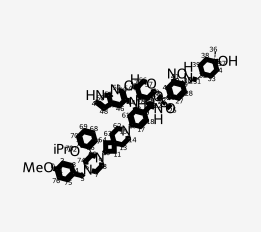 COc1ccc(CN2CCN(C3CC4(CCN(c5ccc(C(=O)NS(=O)(=O)c6ccc(NC[C@H]7CC[C@](C)(O)CC7)c([N+](=O)[O-])c6)c(N6c7cc8cc[nH]c8nc7O[C@H]7COCC[C@@H]76)c5)CC4)C3)[C@@H](c3ccccc3OC(C)C)C2)cc1